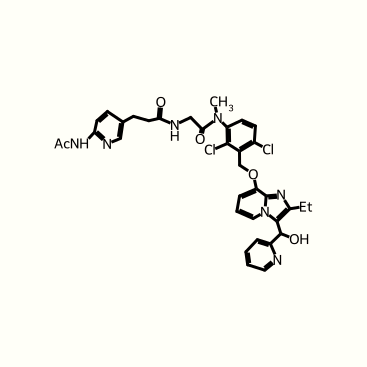 CCc1nc2c(OCc3c(Cl)ccc(N(C)C(=O)CNC(=O)CCc4ccc(NC(C)=O)nc4)c3Cl)cccn2c1C(O)c1ccccn1